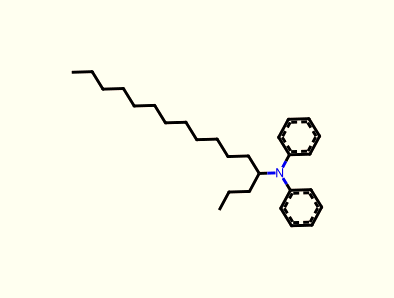 CCCCCCCCCCCCC(CCC)N(c1ccccc1)c1ccccc1